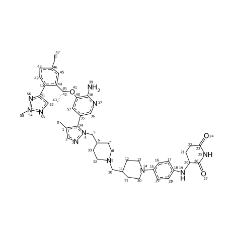 Cc1cnn(CC2CCN(CC3CCN(c4ccc(NC5CCC(=O)NC5=O)cc4)CC3)CC2)c1-c1cnc(N)c(O[C@H](C)c2cc(F)ccc2-c2cnn(C)n2)c1